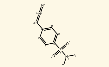 CN(C)S(=O)(=O)c1ccc(N=[N+]=[N-])cc1